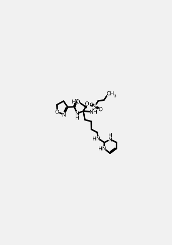 CCCS(=O)(=O)NC(CCCCNC1NC=CCN1)(NC(=O)C1=NOCC1)C(=O)O